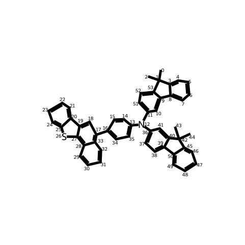 CC1(C)c2ccccc2-c2cc(N(c3ccc(-c4cc5c6ccccc6sc5c5ccccc45)cc3)c3ccc4c(c3)C(C)(C)c3ccccc3-4)ccc21